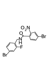 O=C(NCc1ccc(Br)cc1F)c1ccc(Br)cc1[N+](=O)[O-]